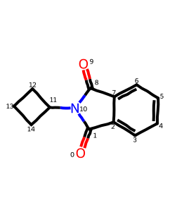 O=C1c2ccccc2C(=O)N1C1CCC1